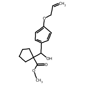 C=CCOc1ccc(C(O)C2(C(=O)OC)CCCC2)cc1